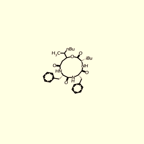 CCCCC(C)C1CC(=O)N[C@@H](Cc2ccccc2)C(=O)N[C@@H](Cc2ccccc2)C(=O)N[C@H]([C@@H](C)CC)C(=O)O1